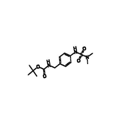 CN(C)S(=O)(=O)Nc1ccc(CNC(=O)OC(C)(C)C)cc1